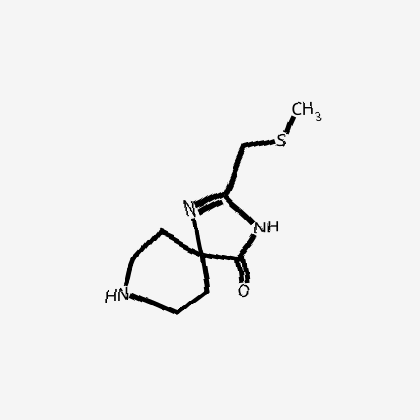 CSCC1=NC2(CCNCC2)C(=O)N1